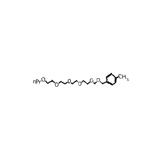 CCCOCCOCCOCCOCCOCOCc1ccc(C)cc1